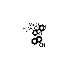 COc1cncc2c1[C@]1(O)[C@@H](CN)C[C@@H](c3ccccc3)[C@]1(c1ccc(C#N)cc1)O2